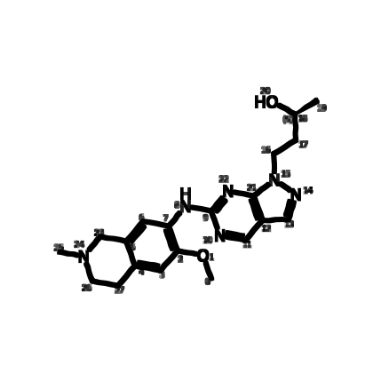 COc1cc2c(cc1Nc1ncc3cnn(CC[C@H](C)O)c3n1)CN(C)CC2